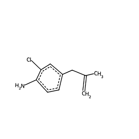 C=C(C)Cc1ccc(N)c(Cl)c1